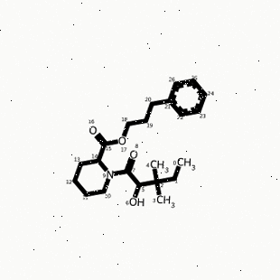 CCC(C)(C)C(O)C(=O)N1CCCCC1C(=O)OCCCc1ccccc1